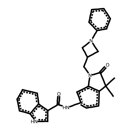 CC1(C)C(=O)N(CC2CN(c3ccccc3)C2)c2cc(NC(=O)c3c[nH]c4ccccc34)ccc21